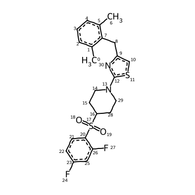 Cc1cccc(C)c1Cc1csc(N2CCC(S(=O)(=O)c3ccc(F)cc3F)CC2)n1